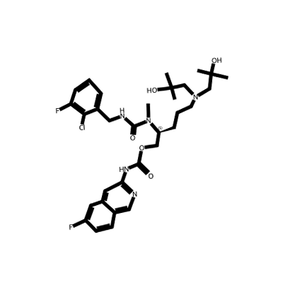 CN(C(=O)NCc1cccc(F)c1Cl)[C@@H](CCCN(CC(C)(C)O)CC(C)(C)O)COC(=O)Nc1cc2cc(F)ccc2cn1